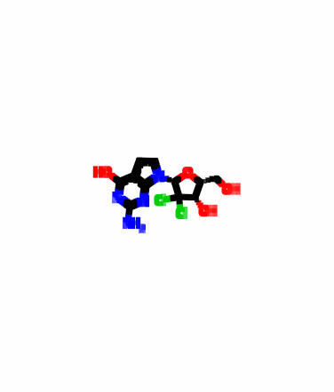 Nc1nc(O)c2ccn([C@@H]3O[C@H](CO)[C@H](O)C3(Cl)Cl)c2n1